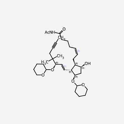 CC#CCC(C)(C)[C@@H](/C=C/[C@@H]1[C@@H](C/C=C\CCCC(=O)NC(C)=O)[C@@H](O)C[C@H]1OC1CCCCO1)OC1CCCCO1